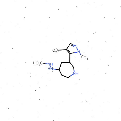 Cn1ncc([N+](=O)[O-])c1C1CNCCC(NNC(=O)O)C1